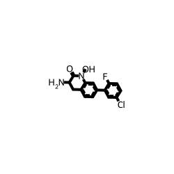 NC1Cc2ccc(-c3cc(Cl)ccc3F)cc2N(O)C1=O